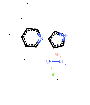 B.F.F.NN.c1cc[nH]c1.c1ccncc1